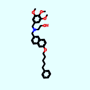 COc1cc(CN(CCO)Cc2ccc3cc(OCCCCCc4ccccc4)ccc3c2)cc(OC)c1OC